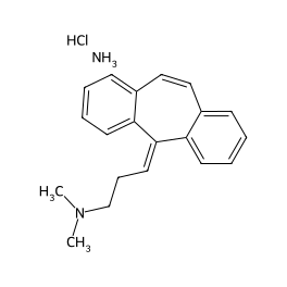 CN(C)CCC=C1c2ccccc2C=Cc2ccccc21.Cl.N